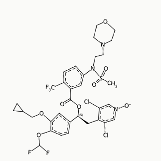 CS(=O)(=O)N(CCN1CCOCC1)c1ccc(C(F)(F)F)c(C(=O)O[C@@H](Cc2c(Cl)c[n+]([O-])cc2Cl)c2ccc(OC(F)F)c(OCC3CC3)c2)c1